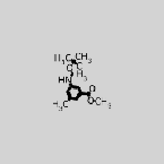 COC(=O)c1cc(C)cc(NCOC(C)(C)C)c1